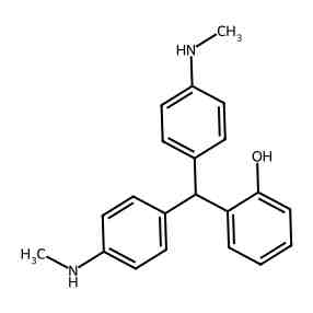 CNc1ccc(C(c2ccc(NC)cc2)c2ccccc2O)cc1